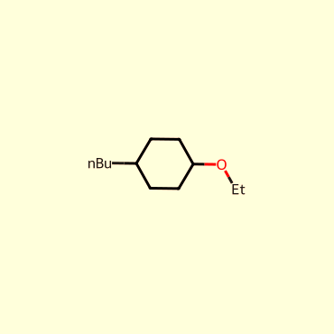 CCCCC1CCC(OCC)CC1